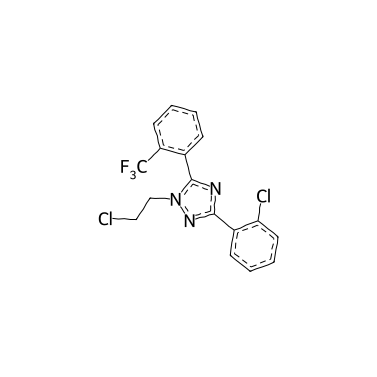 FC(F)(F)c1ccccc1-c1nc(-c2ccccc2Cl)nn1CCCl